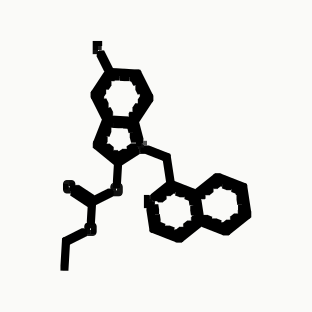 CCOC(=O)Oc1cc2cc(F)ccc2n1Cc1nccc2ccccc12